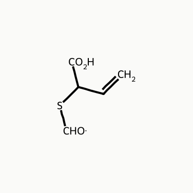 C=CC(S[C]=O)C(=O)O